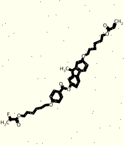 C=CC(=O)OCCCCCCOc1ccc2c(c1)C(C)c1cc(OC(=O)c3ccc(OCCCCCCOC(=O)C(=C)F)cc3)ccc1-2